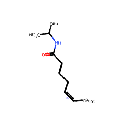 CCCCC/C=C\CCCC(=O)NC(CCCC)C(=O)O